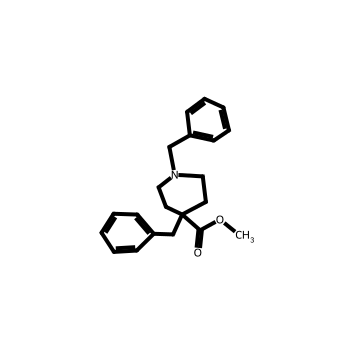 COC(=O)C1(Cc2ccccc2)CCN(Cc2ccccc2)CC1